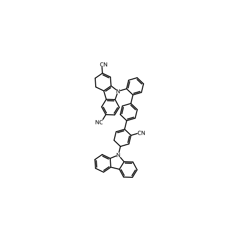 N#CC1=Cc2c(c3cc(C#N)ccc3n2-c2ccccc2-c2ccc(C3=CCC(n4c5ccccc5c5ccccc54)C=C3C#N)cc2)CC1